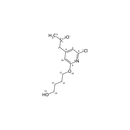 C[S+]([O-])Cc1cc(Cl)nc(OCCCCO)c1